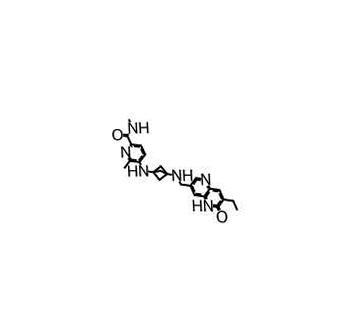 CCc1cc2ncc(CNC34CC(Nc5ccc(C(=O)NC)nc5C)(C3)C4)cc2[nH]c1=O